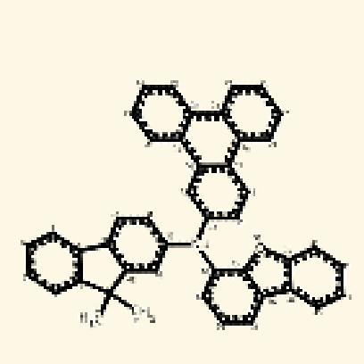 CC1(C)c2ccccc2-c2ccc(N(c3ccc4c5ccccc5c5ccccc5c4c3)c3cccc4c3oc3ccccc34)cc21